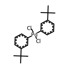 CC(C)(C)c1ccc[c]([Pd]([Cl])([Cl])[c]2cccc(C(C)(C)C)c2)c1